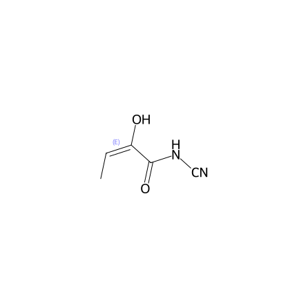 C/C=C(/O)C(=O)NC#N